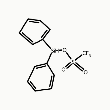 O=S(=O)(O[SiH](c1ccccc1)c1ccccc1)C(F)(F)F